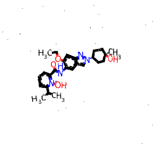 CCOc1cc2nn([C@H]3CC[C@](C)(O)CC3)cc2cc1NC(=O)c1cccc(C(C)C)[n+]1O